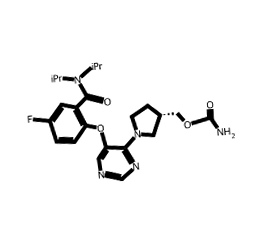 CC(C)N(C(=O)c1cc(F)ccc1Oc1cncnc1N1CC[C@H](COC(N)=O)C1)C(C)C